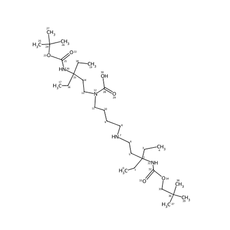 CCC(CC)(CCNCCCCN(CCC(CC)(CC)NC(=O)OC(C)(C)C)C(=O)O)NC(=O)OCC(C)(C)C